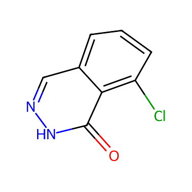 O=c1[nH]ncc2cccc(Cl)c12